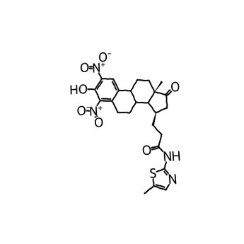 Cc1cnc(NC(=O)CC[C@@H]2CC(=O)[C@@]3(C)CCC4c5cc([N+](=O)[O-])c(O)c([N+](=O)[O-])c5CCC4C23)s1